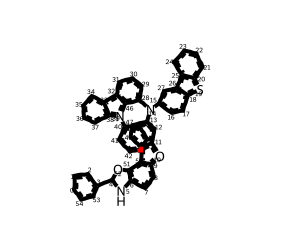 c1ccc(C2Nc3ccc4oc5cc(N(c6ccc7sc8ccccc8c7c6)c6cccc7c8ccccc8n(-c8ccccc8)c67)ccc5c4c3O2)cc1